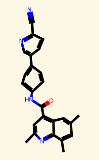 Cc1cc(C)c2nc(C)cc(C(=O)Nc3ccc(-c4ccc(C#N)nc4)cc3)c2c1